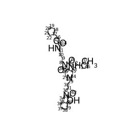 CCCCN1C(=O)N(CCCCNC(=O)OCc2ccccc2)C(=O)C12CCN(CCCCN(Cc1ccccc1)C(=O)O)CC2.Cl